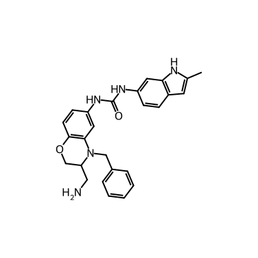 Cc1cc2ccc(NC(=O)Nc3ccc4c(c3)N(Cc3ccccc3)C(CN)CO4)cc2[nH]1